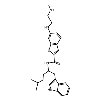 CNCCNc1ccc2cc(C(=O)NC(CCC(C)C)Cc3c[nH]c4ccccc34)sc2c1